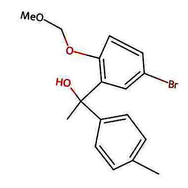 COCOc1ccc(Br)cc1C(C)(O)c1ccc(C)cc1